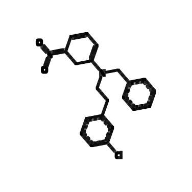 O=S(=O)=C1C=CC=C(N(CCc2cccc(Cl)c2)Cc2ccccc2)C1